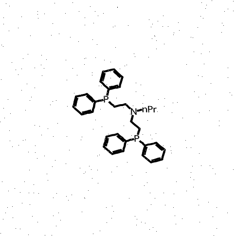 CCCN(CCP(c1ccccc1)c1ccccc1)CCP(c1ccccc1)c1ccccc1